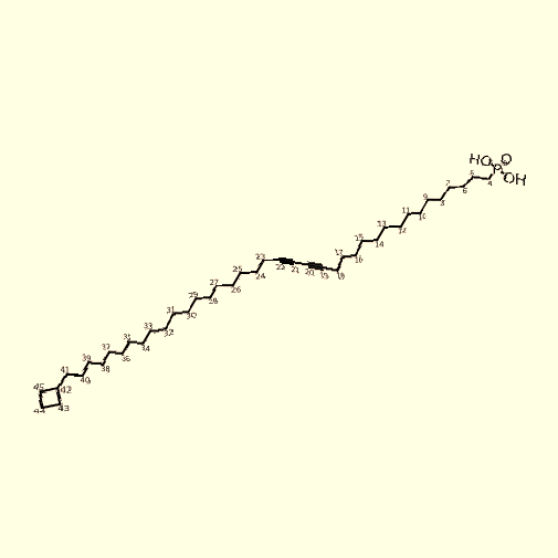 O=P(O)(O)CCCCCCCCCCCCCCCC#CC#CCCCCCCCCCCCCCCCCCCCC1CCC1